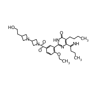 CCCCc1c(C(=N)CCC)nc(-c2cc(S(=O)(=O)N3CC(N4CC(CCO)C4)C3)ccc2OCC)[nH]c1=O